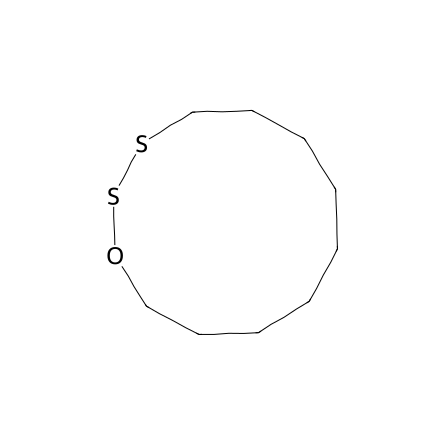 C1CCCCOSSCCCC1